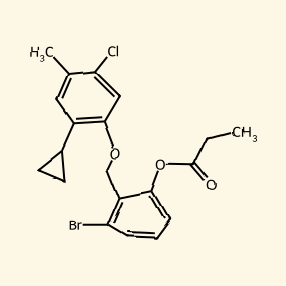 CCC(=O)Oc1cccc(Br)c1COc1cc(Cl)c(C)cc1C1CC1